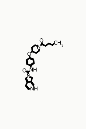 CCCCC(=O)N1CCC(Oc2ccc(NC(=O)N3C=C4C=CNC=C4C3)cc2)CC1